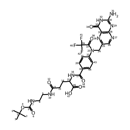 CC(C)(C)OC(=O)NCCNC(=O)CCC(NC(=O)c1ccc(N(Cc2cnc3nc(N)[nH]c(=O)c3n2)C(=O)C(F)(F)F)cc1)C(=O)O